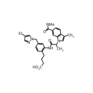 CCc1cnn(Cc2ccc(CCCC(=O)O)c(NC(=O)C(C)n3cc(C)c4ccc(C(=O)NC)cc43)c2)c1